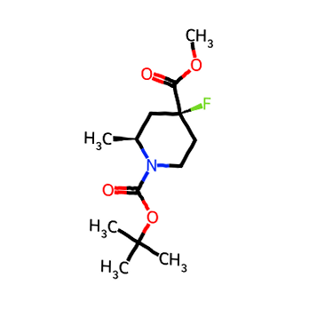 COC(=O)[C@]1(F)CCN(C(=O)OC(C)(C)C)[C@@H](C)C1